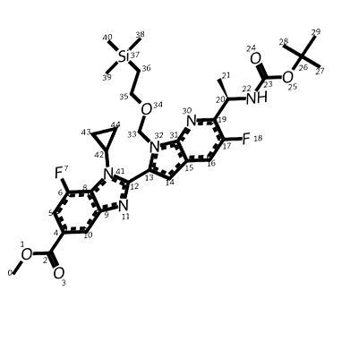 COC(=O)c1cc(F)c2c(c1)nc(-c1cc3cc(F)c([C@@H](C)NC(=O)OC(C)(C)C)nc3n1COCC[Si](C)(C)C)n2C1CC1